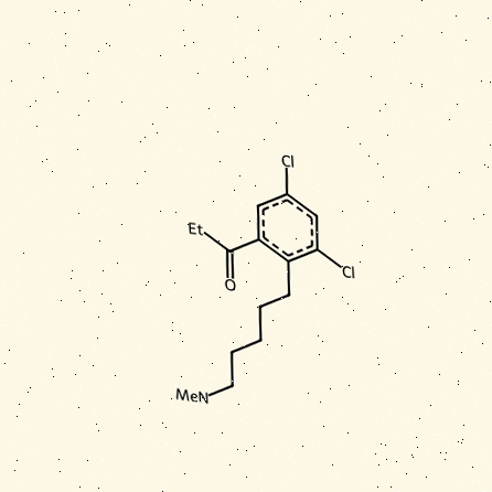 CCC(=O)c1cc(Cl)cc(Cl)c1CCCCCNC